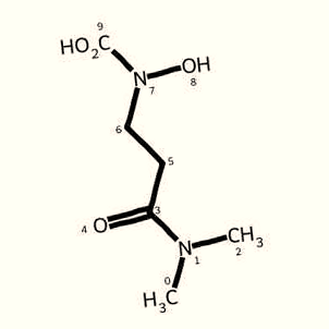 CN(C)C(=O)CCN(O)C(=O)O